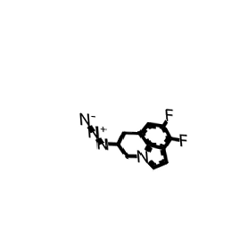 [N-]=[N+]=NC1Cc2cc(F)c(F)c3ccn(c23)C1